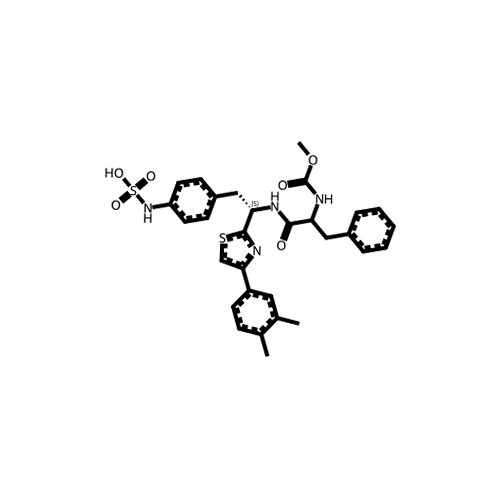 COC(=O)NC(Cc1ccccc1)C(=O)N[C@@H](Cc1ccc(NS(=O)(=O)O)cc1)c1nc(-c2ccc(C)c(C)c2)cs1